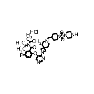 CC(C)N(C(=O)c1cc(F)ccc1Oc1cncnc1N1CC2(CCN(CC3CCN(S(=O)(=O)N4CCNCC4)CC3)CC2)C1)C(C)C.Cl